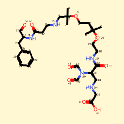 CC(C)(CCOC(C)(C)CNCCC(=O)NC(C=O)Cc1ccccc1)OCCNC(=O)C(CNCC(=O)O)N(C=O)C=O